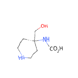 O=C(O)NC1(CO)CCNCC1